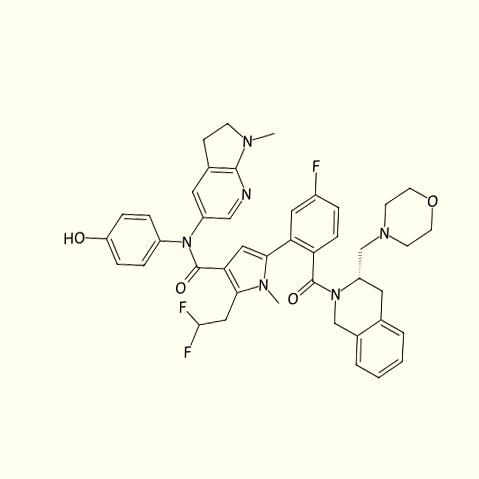 CN1CCc2cc(N(C(=O)c3cc(-c4cc(F)ccc4C(=O)N4Cc5ccccc5C[C@H]4CN4CCOCC4)n(C)c3CC(F)F)c3ccc(O)cc3)cnc21